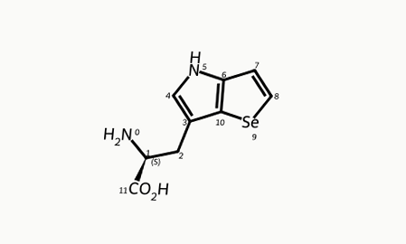 N[C@@H](Cc1c[nH]c2cc[se]c12)C(=O)O